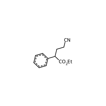 CCOC(=O)C(CCC#N)c1ccccc1